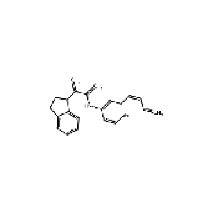 C=C/C=C\C/C=C(\C=C/C(C)C)NC(=C)C(=C)C1CCc2ccccc21